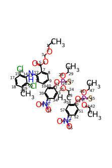 CCOCOC(=O)c1ccccc1Nc1c(Cl)ccc(C)c1Cl.CCOP(=S)(OCC)Oc1ccc([N+](=O)[O-])cc1.CCOP(=S)(OCC)Oc1ccc([N+](=O)[O-])cc1